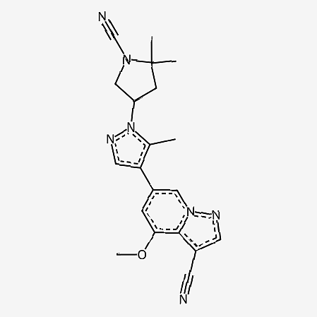 COc1cc(-c2cnn(C3CN(C#N)C(C)(C)C3)c2C)cn2ncc(C#N)c12